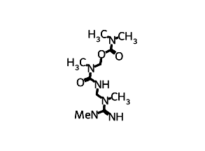 CNC(=N)N(C)CNC(=O)N(C)COC(=O)N(C)C